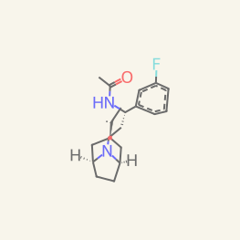 C[CH][C@H]1C[C@H]2CC[C@@H](C1)N2CC[C@H](NC(C)=O)c1cccc(F)c1